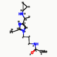 COC(=O)NCCCn1cc(C(C)NC2CC2)nc1C(C)C